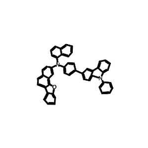 c1ccc(-n2c3ccccc3c3cc(-c4ccc(N(c5ccc6ccc7c8ccccc8oc7c6c5)c5cccc6ccccc56)cc4)ccc32)cc1